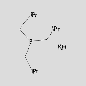 CC(C)CB(CC(C)C)CC(C)C.[KH]